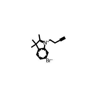 C#CCC[N+]1=C(C)C(C)(C)c2ccccc21.[Br-]